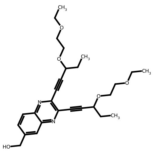 CCOCCOC(C#Cc1nc2ccc(CO)cc2nc1C#CC(CC)OCCOCC)CC